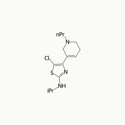 CCCN1CCC=C(c2nc(NC(C)C)sc2Cl)C1